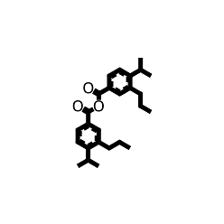 CCCc1cc(C(=O)OC(=O)c2ccc(C(C)C)c(CCC)c2)ccc1C(C)C